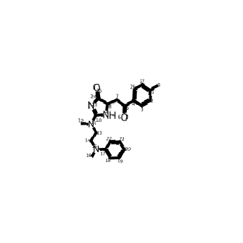 Cc1ccc(C(=O)CC2NC(N(C)CCN(C)c3ccccc3)=NC2=O)cc1